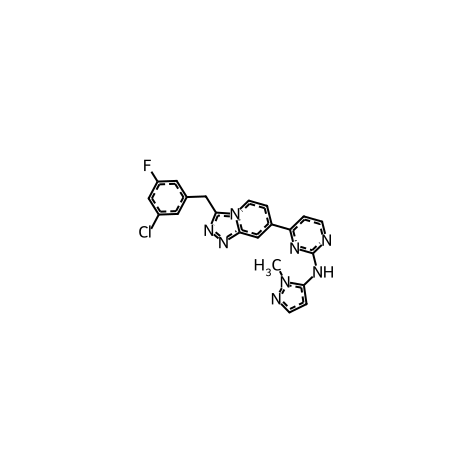 Cn1nccc1Nc1nccc(-c2ccn3c(Cc4cc(F)cc(Cl)c4)nnc3c2)n1